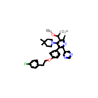 Cc1nc(-c2cncnc2)c(-c2ccc(OCCc3ccc(F)cc3)cc2)c(N2CCC(C)(C)CC2)c1C(OC(C)(C)C)C(=O)O